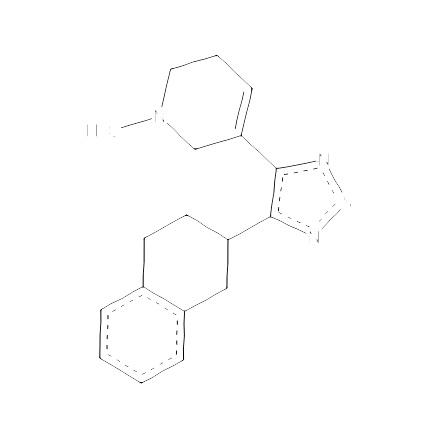 CN1CCC=C(c2nsnc2C2CCc3ccccc3C2)C1